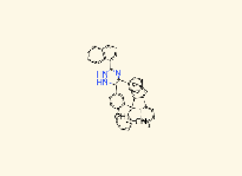 Cc1ccccc1C1(c2cc(C3=C(c4ccccc4)N=C(c4cccc5ccccc45)NN3)ccc2C)c2ccccc2-c2ccccc21